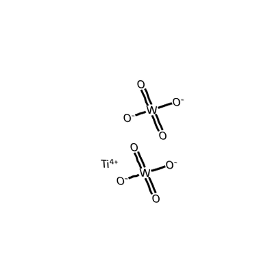 [O]=[W](=[O])([O-])[O-].[O]=[W](=[O])([O-])[O-].[Ti+4]